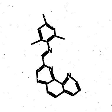 Cc1cc(C)c(N=Cc2ccc3ccc4cccnc4c3n2)c(C)c1